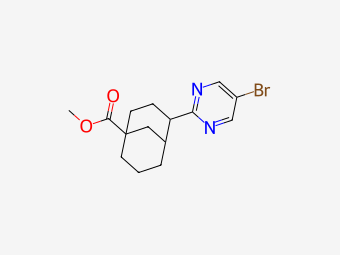 COC(=O)C12CCCC(C1)C(c1ncc(Br)cn1)CC2